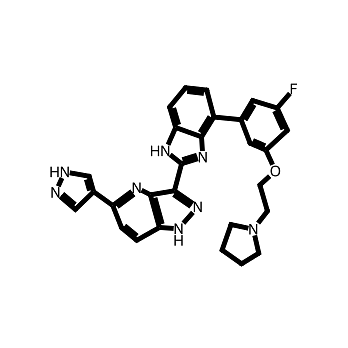 Fc1cc(OCCN2CCCC2)cc(-c2cccc3[nH]c(-c4n[nH]c5ccc(-c6cn[nH]c6)nc45)nc23)c1